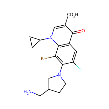 NCC1CCN(c2c(F)cc3c(=O)c(C(=O)O)cn(C4CC4)c3c2Br)C1